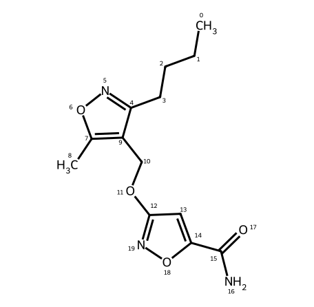 CCCCc1noc(C)c1COc1cc(C(N)=O)on1